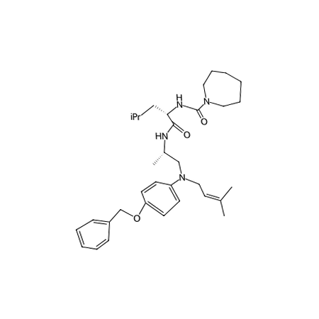 CC(C)=CCN(C[C@H](C)NC(=O)[C@H](CC(C)C)NC(=O)N1CCCCCC1)c1ccc(OCc2ccccc2)cc1